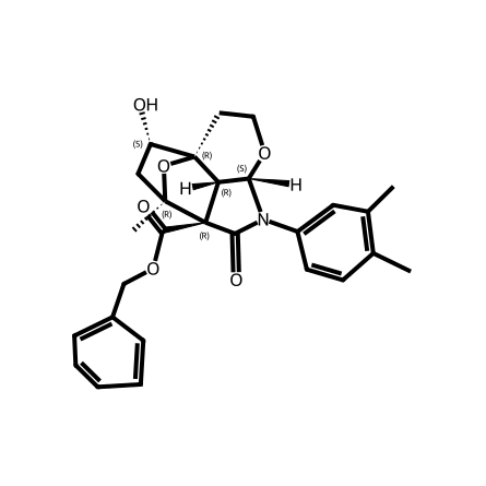 Cc1ccc(N2C(=O)[C@@]3(C(=O)OCc4ccccc4)[C@H]4[C@@H]2OCC[C@@]42O[C@]3(C)C[C@@H]2O)cc1C